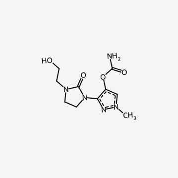 Cn1cc(OC(N)=O)c(N2CCN(CCO)C2=O)n1